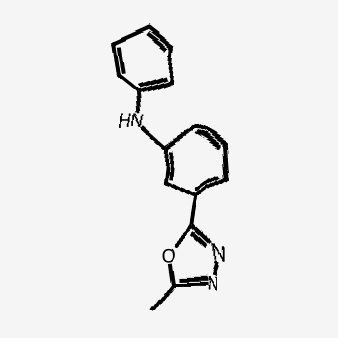 Cc1nnc(-c2cccc(Nc3ccccc3)c2)o1